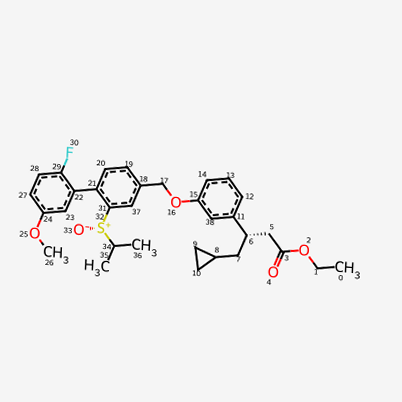 CCOC(=O)C[C@H](CC1CC1)c1cccc(OCc2ccc(-c3cc(OC)ccc3F)c([S@@+]([O-])C(C)C)c2)c1